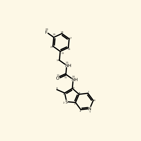 Cc1sc2cnccc2c1NC(=O)NCc1cccc(F)c1